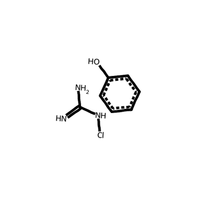 N=C(N)NCl.Oc1ccccc1